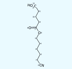 N#CCCCCCOC(=O)CCCC(=O)O